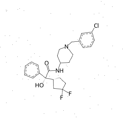 O=C(NC1CCN(Cc2cccc(Cl)c2)CC1)[C@](O)(c1ccccc1)[C@@H]1CCC(F)(F)C1